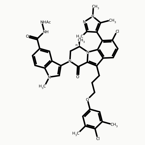 CC(=O)NNC(=O)c1ccc2c(c1)c(N1C[C@@H](C)n3c(c(CCCOc4cc(C)c(Cl)c(C)c4)c4ccc(Cl)c(-c5c(C)nn(C)c5C)c43)C1=O)cn2C